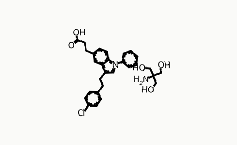 NC(CO)(CO)CO.O=C(O)CCc1ccc2c(c1)c(CCc1ccc(Cl)cc1)cn2-c1ccccc1